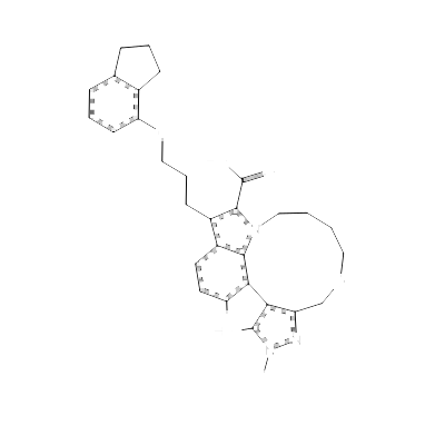 Cc1c2c(nn1C)COCCCCn1c(C(=O)O)c(CCCOc3cccc4c3CCC4)c3ccc(F)c-2c31